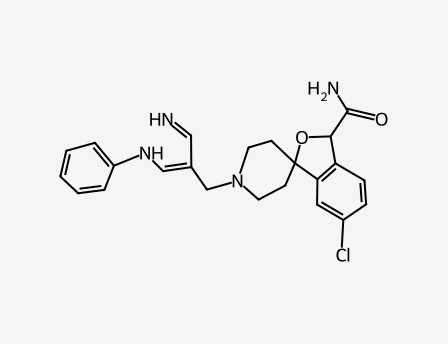 N=C/C(=C\Nc1ccccc1)CN1CCC2(CC1)OC(C(N)=O)c1ccc(Cl)cc12